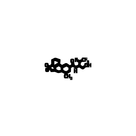 CN1CC(C(=O)NC(CO)C(F)C(F)(F)F)C=C2c3cccc4c3C(=CS4(=O)=O)CC21